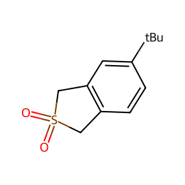 CC(C)(C)c1ccc2c(c1)CS(=O)(=O)C2